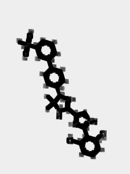 CC1(C)NC(c2c[nH]c(-c3c(Cl)cccc3Cl)n2)=N[C@@H]1c1ccc(-c2cccc(S(C)(=O)=O)c2)cc1